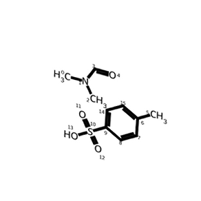 CN(C)C=O.Cc1ccc(S(=O)(=O)O)cc1